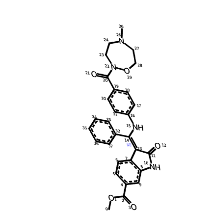 COC(=O)c1ccc2c(c1)NC(=O)/C2=C(\Nc1ccc(C(=O)N2CCN(C)CCO2)cc1)c1ccccc1